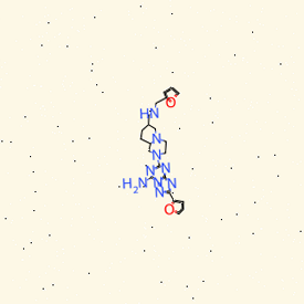 Nc1nc(N2CCN3CC(CNCc4ccco4)CCC3C2)nc2nc(-c3ccco3)nn12